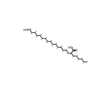 CCCCCCC(CCCCCCCCCCCCCCCCO)C(=O)O